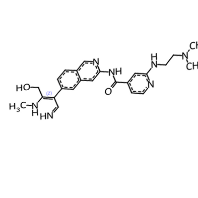 CN/C(CO)=C(\C=N)c1ccc2cnc(NC(=O)c3ccnc(NCCN(C)C)c3)cc2c1